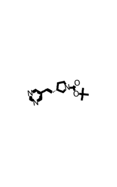 CC(C)(C)OC(=O)N1CC[C@@H](/C=C/c2cncnc2)C1